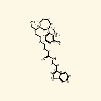 CCC(CCCCCCC(=O)NCCc1c[nH]c2ccccc12)N1CCCC[C@@](CC)(c2cccc(O)c2)C1